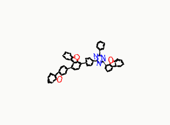 c1ccc(-c2nc(-c3ccc(-c4ccc(-c5ccc6c(c5)oc5ccccc56)c5c4oc4ccccc45)cc3)nc(-c3cccc4c3oc3ccccc34)n2)cc1